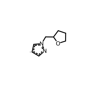 [c]1cnn(CC2CCCO2)c1